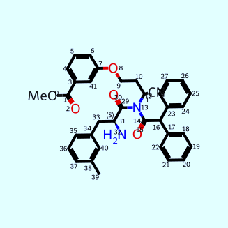 COC(=O)c1cccc(OCCC(C#N)N(C(=O)C(c2ccccc2)c2ccccc2)C(=O)[C@@H](N)Cc2cccc(C)c2)c1